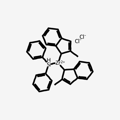 CC1=Cc2ccccc2[CH]1[Zr+2]([CH]1C(C)=Cc2ccccc21)[SiH](c1ccccc1)c1ccccc1.[Cl-].[Cl-]